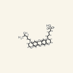 CC(C)CCC[N+]1=c2cc3c(cc2OCC1)=Nc1cc2c(cc1O3)N(CCCCS(=O)(=O)O)CCO2